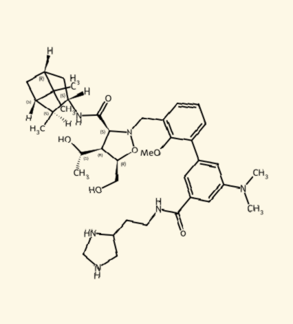 COc1c(CN2O[C@@H](CO)[C@@H]([C@H](C)O)[C@H]2C(=O)N[C@H]2C[C@H]3C[C@@H]([C@@H]2C)C3(C)C)cccc1-c1cc(C(=O)NCCC2CNCN2)cc(N(C)C)c1